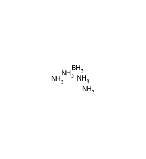 B.N.N.N.N